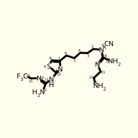 N#CN(CCCCCc1csc(NC(N)=NCC(F)(F)F)n1)C(N)=NCCN